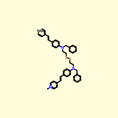 C/C=C(\C=C/NC)/C=C/c1ccc(N(CCSSCCN(Cc2ccccc2)c2ccc(/C=C/c3cc[n+](C)cc3)cc2)Cc2ccccc2)cc1